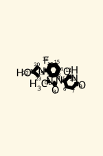 Cn1c(=O)n(C2CCC(=O)NC2=O)c2ccc(F)c(N3CC(O)C3)c21